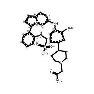 COc1cc(C2CCN(CC(N)=O)CC2)ccc1Nc1ncc2ccc(-c3ccccc3NCS(C)(=O)=O)n2n1